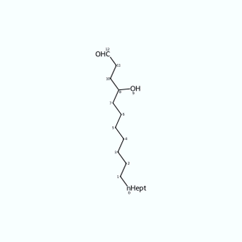 CCCCCCCCCCCCCCC(O)CCC=O